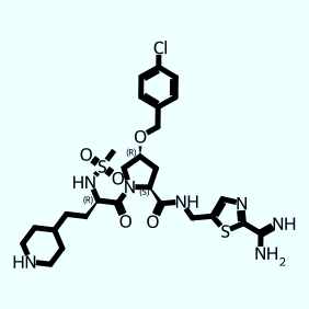 CS(=O)(=O)N[C@H](CCC1CCNCC1)C(=O)N1C[C@H](OCc2ccc(Cl)cc2)C[C@H]1C(=O)NCc1cnc(C(=N)N)s1